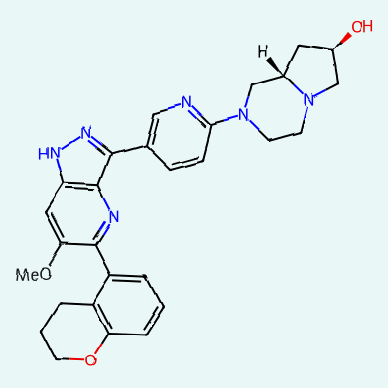 COc1cc2[nH]nc(-c3ccc(N4CCN5C[C@H](O)C[C@H]5C4)nc3)c2nc1-c1cccc2c1CCCO2